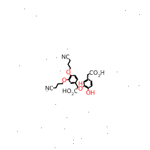 N#CCCCOc1ccc(CC(=O)O)cc1OCCCC#N.O=C(O)Cc1ccc(O)c(O)c1